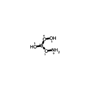 NOB(O)OO